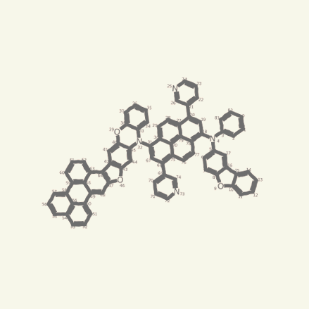 c1ccc(N(c2ccc3oc4ccccc4c3c2)c2cc(-c3cccnc3)c3ccc4c(-n5c6ccccc6oc6cc7c(cc65)oc5cc6c8cccc9cccc(c%10cccc(c57)c%106)c98)cc(-c5cccnc5)c5ccc2c3c54)cc1